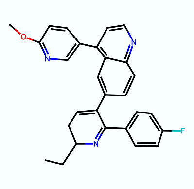 CCC1CC=C(c2ccc3nccc(-c4ccc(OC)nc4)c3c2)C(c2ccc(F)cc2)=N1